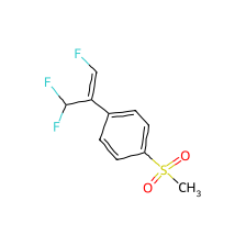 CS(=O)(=O)c1ccc(C(=CF)C(F)F)cc1